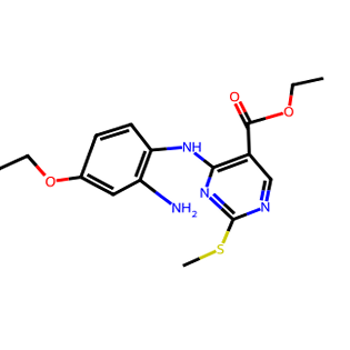 CCOC(=O)c1cnc(SC)nc1Nc1ccc(OCC)cc1N